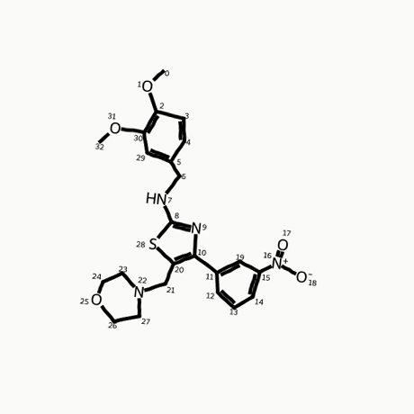 COc1ccc(CNc2nc(-c3cccc([N+](=O)[O-])c3)c(CN3CCOCC3)s2)cc1OC